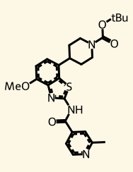 COc1ccc(C2CCN(C(=O)OC(C)(C)C)CC2)c2sc(NC(=O)c3ccnc(C)c3)nc12